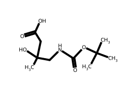 CC(O)(CNC(=O)OC(C)(C)C)CC(=O)O